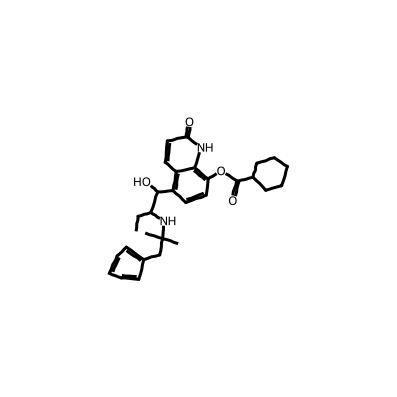 CCC(NC(C)(C)Cc1ccccc1)C(O)c1ccc(OC(=O)C2CCCCC2)c2[nH]c(=O)ccc12